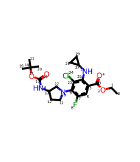 CCOC(=O)c1cc(F)c(N2CCC(NC(=O)OC(C)(C)C)C2)c(Cl)c1NC1CC1